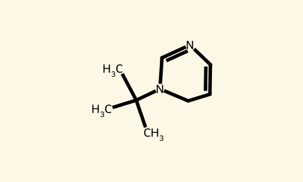 CC(C)(C)N1C=NC=CC1